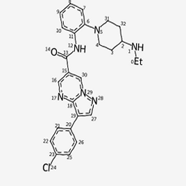 CCNC1CCN(c2ccccc2NC(=O)c2cnc3c(-c4ccc(Cl)cc4)cnn3c2)CC1